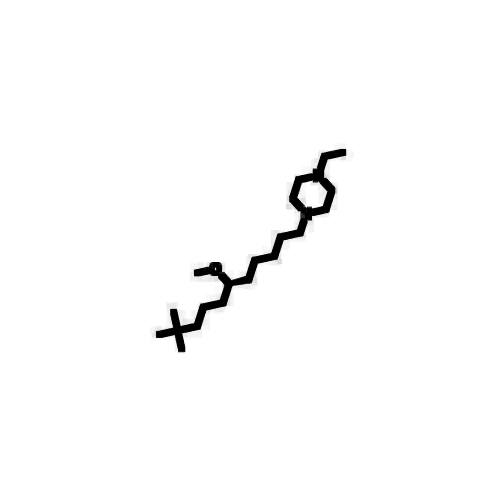 CCN1CCN(CCCCC[C@@H](CCCC(C)(C)C)OC)CC1